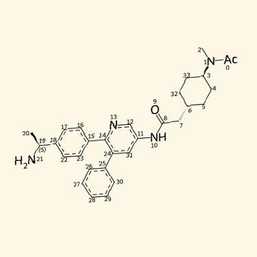 CC(=O)N(C)[C@H]1CC[C@H](CC(=O)Nc2cnc(-c3ccc([C@H](C)N)cc3)c(-c3ccccc3)c2)CC1